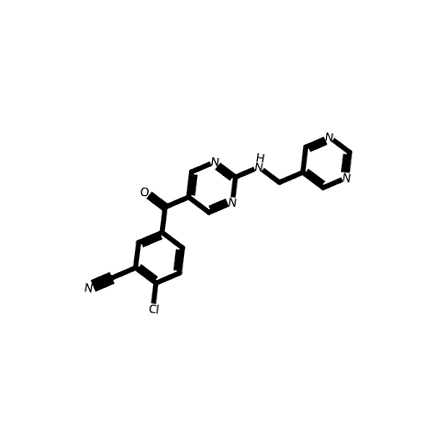 N#Cc1cc(C(=O)c2cnc(NCc3cncnc3)nc2)ccc1Cl